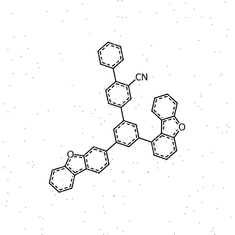 N#Cc1cc(-c2cc(-c3ccc4c(c3)oc3ccccc34)cc(-c3cccc4oc5ccccc5c34)c2)ccc1-c1ccccc1